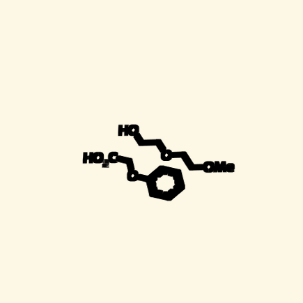 COCCOCCO.O=C(O)COc1ccccc1